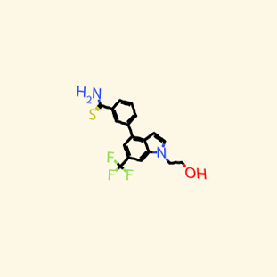 NC(=S)c1cccc(-c2cc(C(F)(F)F)cc3c2ccn3CCO)c1